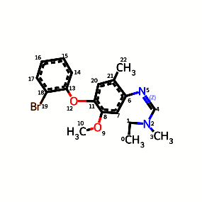 CCN(C)/C=N\c1cc(OC)c(Oc2ccccc2Br)cc1C